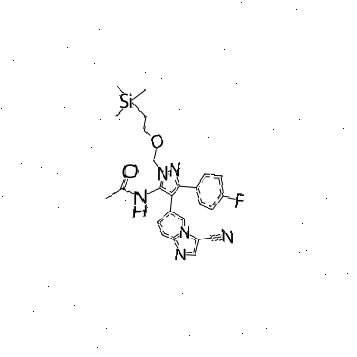 CC(=O)Nc1c(-c2ccc3ncc(C#N)n3c2)c(-c2ccc(F)cc2)nn1COCC[Si](C)(C)C